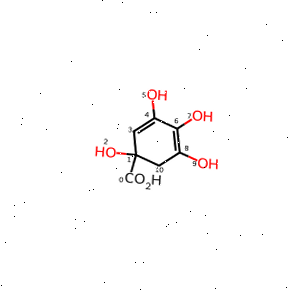 O=C(O)C1(O)C=C(O)C(O)=C(O)C1